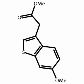 COC(=O)Cc1csc2cc(OC)ccc12